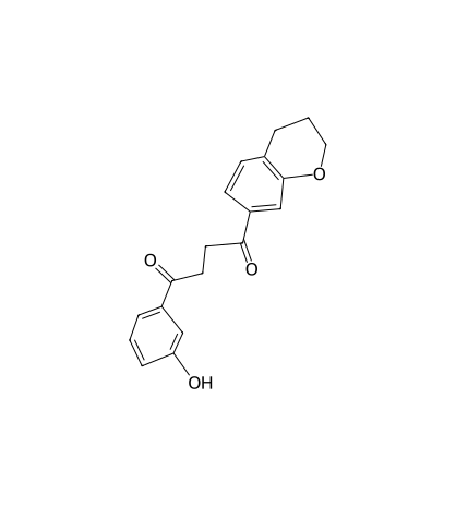 O=C(CCC(=O)c1ccc2c(c1)OCCC2)c1cccc(O)c1